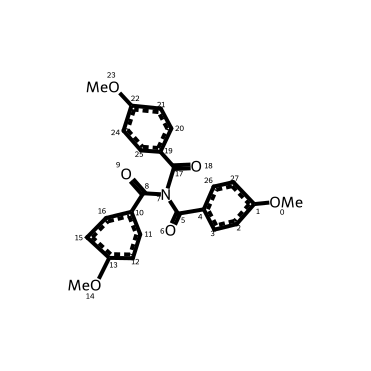 COc1ccc(C(=O)N(C(=O)c2ccc(OC)cc2)C(=O)c2ccc(OC)cc2)cc1